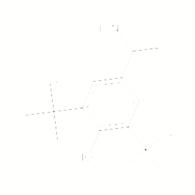 CC(N)c1cc(C(C)(C)C)c(O)c(C(C)(C)C)c1